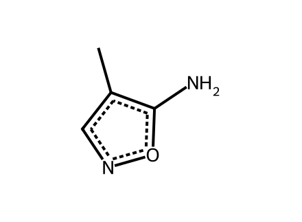 Cc1cnoc1N